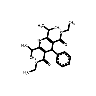 CCOC(=O)C1=C(C(C)C)NC(C(C)C)=C(C(=O)OCC)C1c1ccccc1